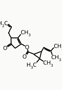 C=CCC1C(=O)CC(OC(=O)C2C(C=C(C)C)C2(C)C)=C1C